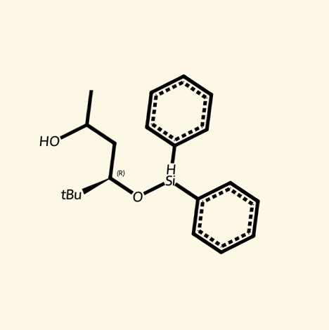 CC(O)C[C@@H](O[SiH](c1ccccc1)c1ccccc1)C(C)(C)C